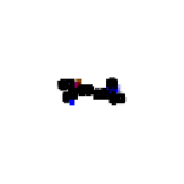 S=P(c1ccc2ccccc2c1)(c1ccc2cc(-c3ccc4cc5c6ccc7ccccc7c6c6nc7ccccc7n6c5cc4c3)ccc2c1)c1ccc2ncccc2c1